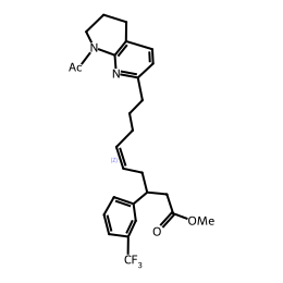 COC(=O)CC(C/C=C\CCCc1ccc2c(n1)N(C(C)=O)CCC2)c1cccc(C(F)(F)F)c1